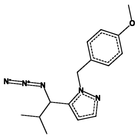 COc1ccc(Cn2nccc2C(N=[N+]=[N-])C(C)C)cc1